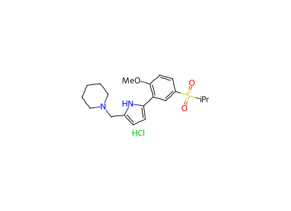 COc1ccc(S(=O)(=O)C(C)C)cc1-c1ccc(CN2CCCCC2)[nH]1.Cl